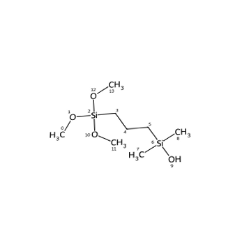 CO[Si](CCC[Si](C)(C)O)(OC)OC